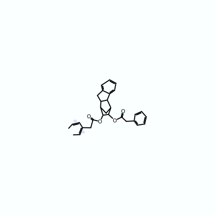 C/C=C\C(=C/C)CC(=O)OC1C2CC(C1OC(=O)Cc1ccccc1)C1c3ccccc3CC21